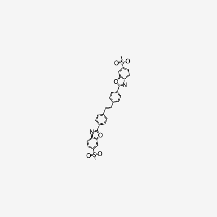 CS(=O)(=O)c1ccc2nc(-c3ccc(C=Cc4ccc(-c5nc6ccc(S(C)(=O)=O)cc6o5)cc4)cc3)oc2c1